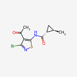 CC(=O)c1c(Br)nsc1NC(=O)[C@@H]1C[C@H]1C